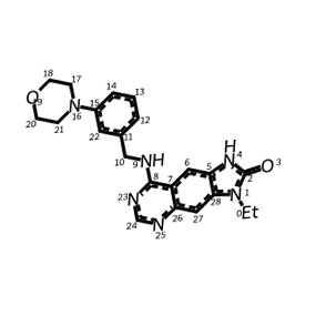 CCn1c(=O)[nH]c2cc3c(NCc4cccc(N5CCOCC5)c4)ncnc3cc21